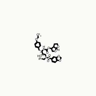 CC(C)CN(C[C@@H](O)[C@H](Cc1ccc(OCC(F)(F)F)cc1)NC(=O)OC1CO[C@H]2OCCC12)S(=O)(=O)c1ccc2c(c1)OCO2